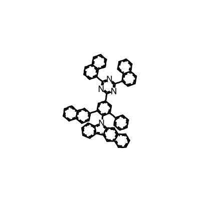 c1ccc(-c2cc(-c3nc(-c4cccc5ccccc45)nc(-c4cccc5ccccc45)n3)cc(-c3ccc4ccccc4c3)c2-n2c3ccccc3c3cc4ccccc4cc32)cc1